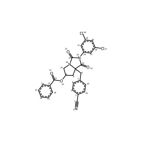 N#Cc1ccc(CC23CC(OC(=O)c4ccccc4)CN2C(=O)N(c2cc(Cl)cc(Cl)c2)C3=O)cc1